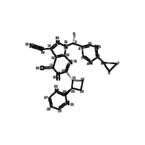 C[C@H](c1cnc(C2CC2)nc1)n1nc(C#N)c2c(=O)[nH]c([C@@H]3CC[C@H]3c3ncccn3)nc21